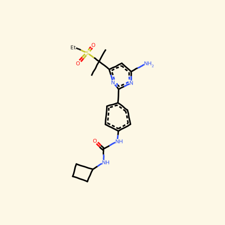 CCS(=O)(=O)C(C)(C)c1cc(N)nc(-c2ccc(NC(=O)NC3CCC3)cc2)n1